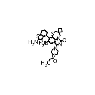 C=CC(=O)N1CCN(c2nc(=O)n3c4c(c(-c5cccc6sc(N)c(C#N)c56)c(C(F)(F)F)cc24)SCC2(CCC2)C3)CC1